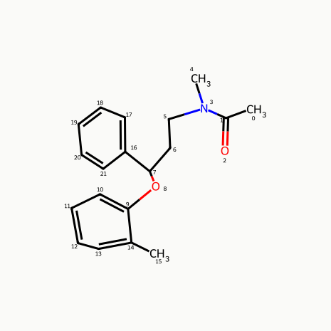 CC(=O)N(C)CCC(Oc1ccccc1C)c1ccccc1